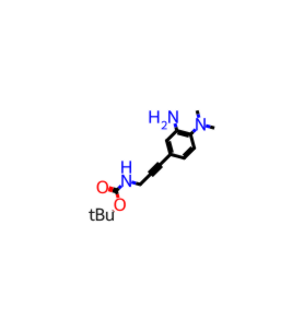 CN(C)c1ccc(C#CCNC(=O)OC(C)(C)C)cc1N